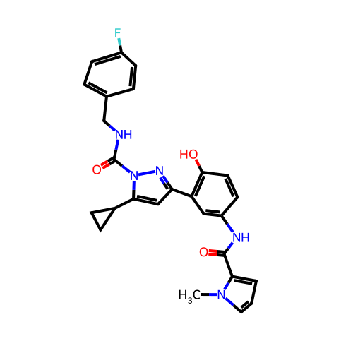 Cn1cccc1C(=O)Nc1ccc(O)c(-c2cc(C3CC3)n(C(=O)NCc3ccc(F)cc3)n2)c1